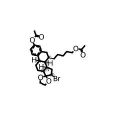 CC(=O)OCCCCC[C@@H]1Cc2cc(OC(C)=O)ccc2[C@H]2CC[C@@]3(C)[C@@H](C[C@@H](Br)C34OCCO4)[C@H]12